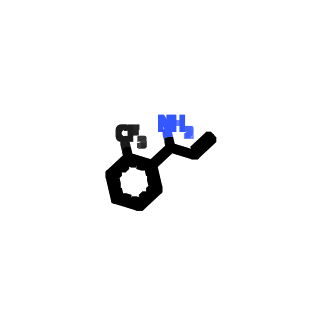 C=CC(N)c1ccccc1C(F)(F)F